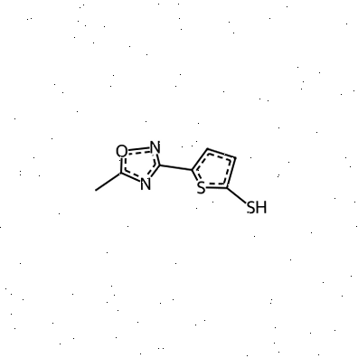 Cc1nc(-c2ccc(S)s2)no1